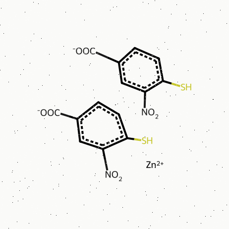 O=C([O-])c1ccc(S)c([N+](=O)[O-])c1.O=C([O-])c1ccc(S)c([N+](=O)[O-])c1.[Zn+2]